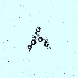 Cn1cc(-c2ccc(N(C(=O)NCc3cncnc3)[C@H]3CC[C@H](Nc4ccc(C#N)cn4)CC3)cc2)cn1